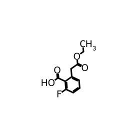 CCOC(=O)Cc1cccc(F)c1C(=O)O